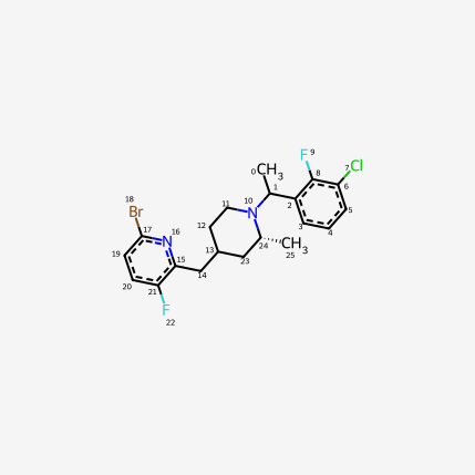 CC(c1cccc(Cl)c1F)N1CCC(Cc2nc(Br)ccc2F)C[C@H]1C